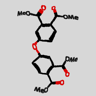 COC(=O)c1ccc(Oc2ccc(C(=O)OC)c(C(=O)OC)c2)cc1C(=O)OC